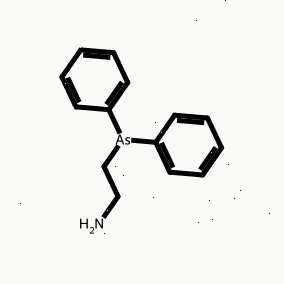 NCC[As](c1ccccc1)c1ccccc1